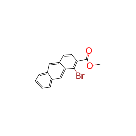 COC(=O)c1ccc2cc3ccccc3cc2c1Br